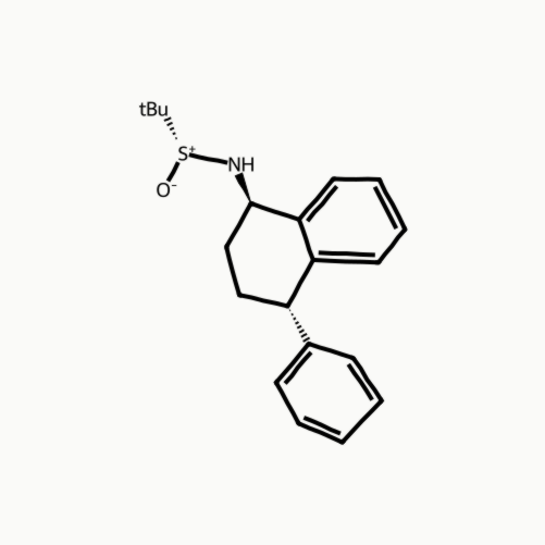 CC(C)(C)[S@@+]([O-])N[C@@H]1CC[C@@H](c2ccccc2)c2ccccc21